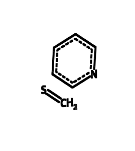 C=S.c1ccncc1